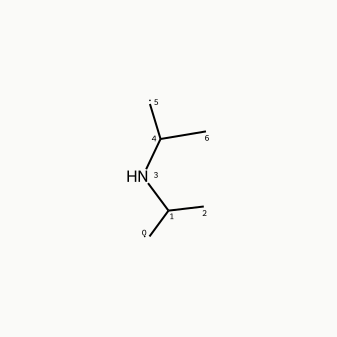 [CH2]C(C)NC([CH2])C